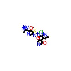 COc1cnccc1-c1cc(C)nc(Cl)c1C(=O)Nc1nc2cnc(-c3c(C)nnn3C)c(OC)c2s1